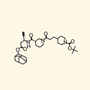 C#CC(CC(=O)OC1C2CC3CC(C2)CC1C3)NC(=O)[C@@H]1CCCN(C(=O)CCC2CCN(C(=O)OC(C)(C)C)CC2)C1